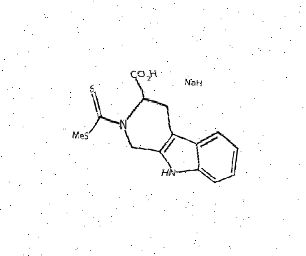 CSC(=S)N1Cc2[nH]c3ccccc3c2CC1C(=O)O.[NaH]